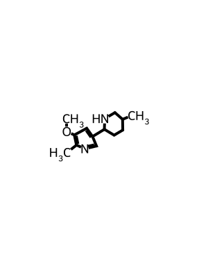 COc1cc(C2CCC(C)CN2)cnc1C